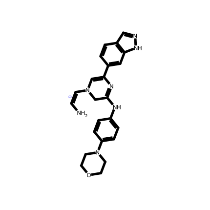 N/C=C\N1C=C(c2ccc3cn[nH]c3c2)N=C(Nc2ccc(N3CCOCC3)cc2)C1